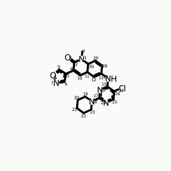 CN1C(=O)C(c2cnoc2)=CC2C=C(Nc3nc(N4CCCCC4)ncc3Cl)C=CC21